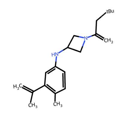 C=C(C)c1cc(NC2CN(C(=C)CC(C)(C)C)C2)ccc1C